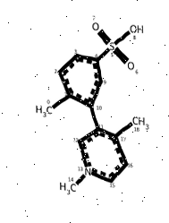 Cc1ccc(S(=O)(=O)O)cc1-c1c[n+](C)ccc1C